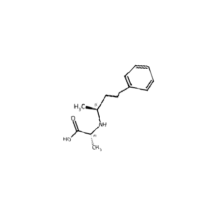 C[C@@H](CCc1ccccc1)N[C@H](C)C(=O)O